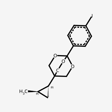 C[C@@H]1C[C@H]1C12COC(c3ccc(I)cc3)(OC1)OC2